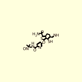 CC(C)(CNC(=O)c1ccc(Oc2sc(C(N)=O)c3c2C(S)=C(C=N)CC3)cn1)N=O